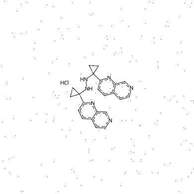 Cl.c1cc2ccc(C3(NNC4(c5ccc6ccncc6n5)CC4)CC3)nc2cn1